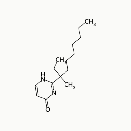 CCCCCCCC(C)(CC)c1nc(=O)cc[nH]1